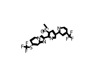 CC[S+]([O-])c1cc(-c2cc(C(F)(F)F)ccn2)cnc1-c1cn2ccc(SC(F)(F)F)cc2n1